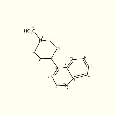 O=C(O)N1CCC(c2ncnc3ccccc23)CC1